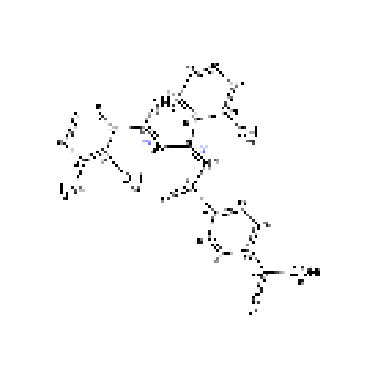 C=C(/N=C(\N=C(/N)c1cccc(N)c1O)c1ccccc1O)c1ccc(C(=O)OC)cc1